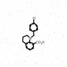 O=C(O)c1cccc2c1N(Cc1ccc(Cl)cc1)CCC2